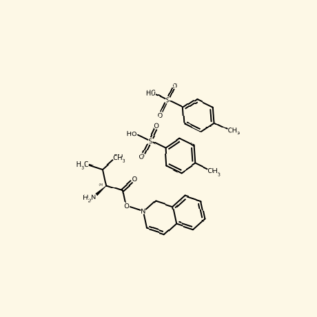 CC(C)[C@H](N)C(=O)ON1C=Cc2ccccc2C1.Cc1ccc(S(=O)(=O)O)cc1.Cc1ccc(S(=O)(=O)O)cc1